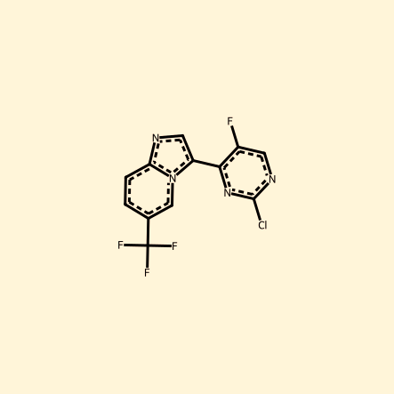 Fc1cnc(Cl)nc1-c1cnc2ccc(C(F)(F)F)cn12